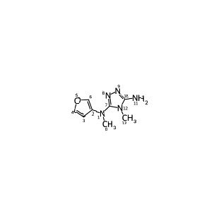 CN(c1ccoc1)c1nnc(N)n1C